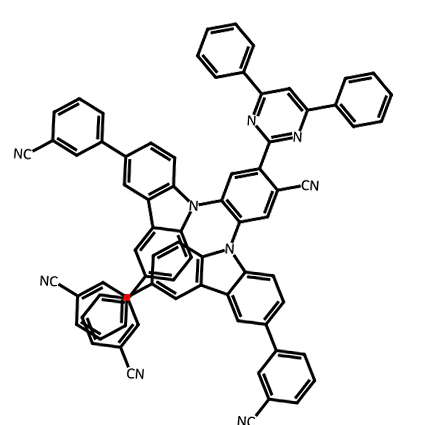 N#Cc1cccc(-c2ccc3c(c2)c2cc(-c4cccc(C#N)c4)ccc2n3-c2cc(C#N)c(-c3nc(-c4ccccc4)cc(-c4ccccc4)n3)cc2-n2c3ccc(-c4cccc(C#N)c4)cc3c3cc(-c4cccc(C#N)c4)ccc32)c1